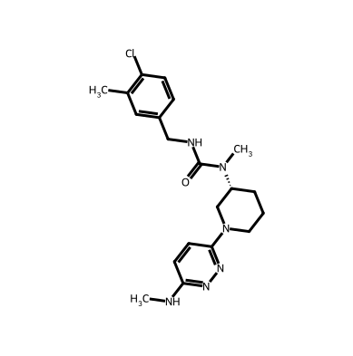 CNc1ccc(N2CCC[C@@H](N(C)C(=O)NCc3ccc(Cl)c(C)c3)C2)nn1